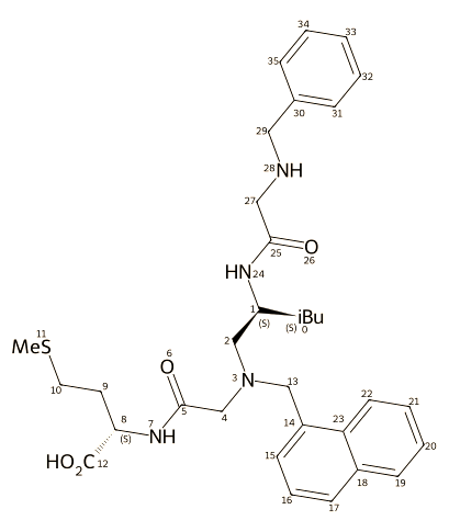 CC[C@H](C)[C@@H](CN(CC(=O)N[C@@H](CCSC)C(=O)O)Cc1cccc2ccccc12)NC(=O)CNCc1ccccc1